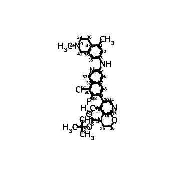 Cc1cc(Nc2cc3cc(-c4cnc5c(c4C)N(C(=O)OC(C)(C)C)CCO5)c(F)c(Cl)c3cn2)cc2c1CCN(C)C2